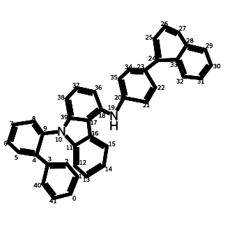 c1ccc(-c2ccccc2-n2c3ccccc3c3c(Nc4ccc(-c5cccc6ccccc56)cc4)cccc32)cc1